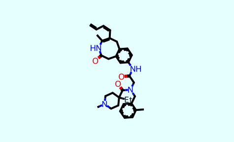 C=C/C=C\C1=C(/C)NC(=O)Cc2cc(NC(=O)CN(Cc3ccccc3C)C(=O)C3(CC)CCN(C)CC3)ccc2C1